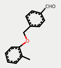 Cc1ccccc1OCc1ccc(C=O)cc1